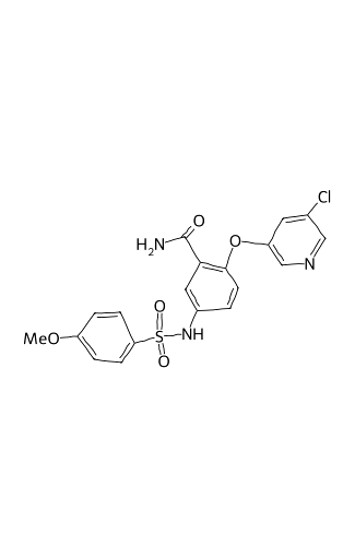 COc1ccc(S(=O)(=O)Nc2ccc(Oc3cncc(Cl)c3)c(C(N)=O)c2)cc1